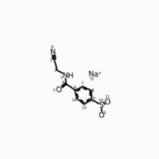 N#CCNC(=O)c1ccc(S(=O)[O-])cc1.[Na+]